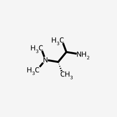 CC(N)[C@H](C)N(C)C